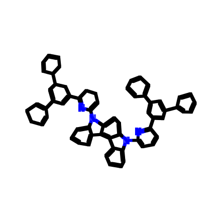 C1=CCC(C2C=C(C3=CCCC=C3)C=C(C3=NC(n4c5ccccc5c5c6c7ccccc7n(-c7cccc(-c8cc(-c9ccccc9)cc(-c9ccccc9)c8)n7)c6ccc54)=CCC3)C2)C=C1